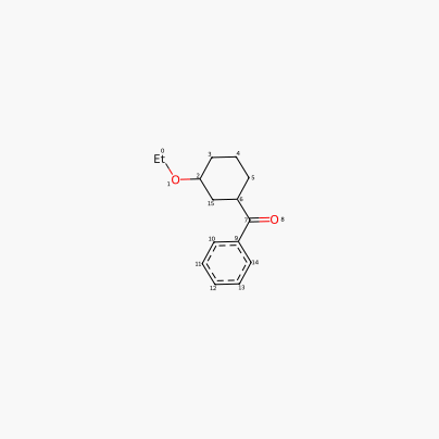 CCOC1CCCC(C(=O)c2ccccc2)C1